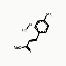 CCO.COC(=O)C=Cc1ccc([N+](=O)[O-])cc1